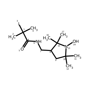 CC(C)(I)C(=O)NCC1CC(C)(C)N(O)C1(C)C